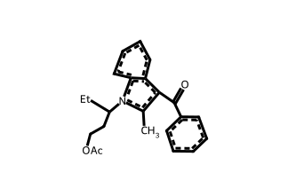 CCC(CCOC(C)=O)n1c(C)c(C(=O)c2ccccc2)c2ccccc21